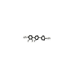 CCCc1ccc(-c2ccc(-c3ccc(CCC)c(F)c3F)c(F)c2)cc1